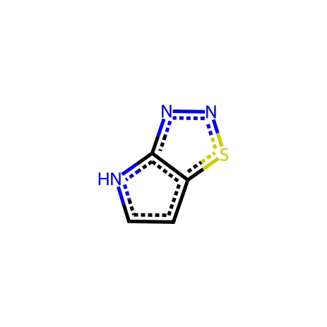 c1cc2snnc2[nH]1